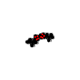 c1ccc(-c2nc(-n3c4ccccc4c4ccccc43)cc(-n3c4ccccc4n4c5cc([Si](c6ccccc6)(c6ccccc6)c6cccc(-c7ccc([Si](c8ccccc8)(c8ccccc8)c8ccc9nc%10n(-c%11cc(-n%12c%13ccccc%13n%13c%14ccccc%14nc%12%13)nc(-c%12ccccc%12)n%11)c%11ccccc%11n%10c9c8)cc7)c6)ccc5nc34)n2)cc1